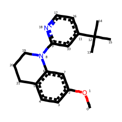 COc1ccc2c(c1)N(c1cc(C(C)(C)C)ccn1)CCC2